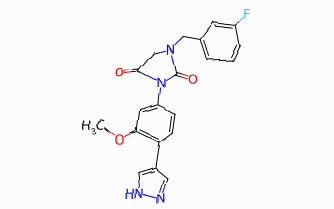 COc1cc(N2C(=O)CN(Cc3cccc(F)c3)C2=O)ccc1-c1cn[nH]c1